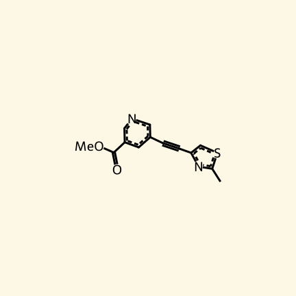 COC(=O)c1cncc(C#Cc2csc(C)n2)c1